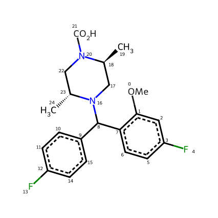 COc1cc(F)ccc1C(c1ccc(F)cc1)N1C[C@H](C)N(C(=O)O)C[C@H]1C